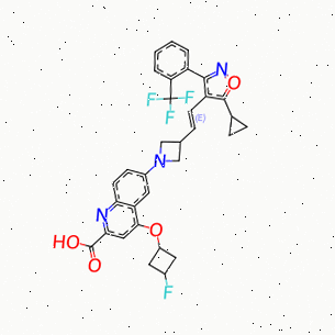 O=C(O)c1cc(OC2CC(F)C2)c2cc(N3CC(/C=C/c4c(-c5ccccc5C(F)(F)F)noc4C4CC4)C3)ccc2n1